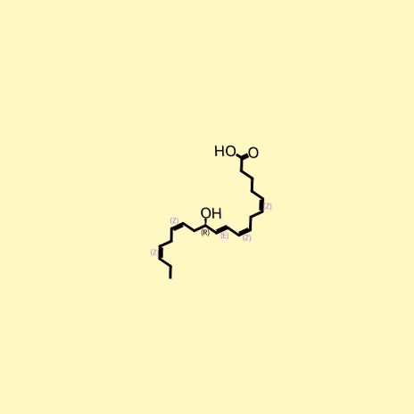 CC/C=C\C/C=C\C[C@@H](O)/C=C/C=C\C/C=C\CCCC(=O)O